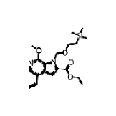 C=Cc1cnc(OC)c2c1cc(C(=O)OCC)n2COCC[Si](C)(C)C